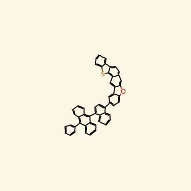 c1ccc(-c2c3ccccc3c(-c3ccc(-c4ccc5oc6cc7ccc8c9ccccc9sc8c7cc6c5c4)c4ccccc34)c3ccccc23)cc1